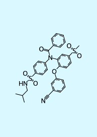 CC(C)CNS(=O)(=O)c1ccc(N(C(=O)c2ccccc2)c2cc(S(C)(=O)=O)ccc2Oc2cccc(C#N)c2)cc1